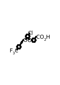 O=C(O)Cc1cccc(Oc2cc(Cl)ccc2OCC#Cc2ccc(C(F)(F)F)cc2)c1